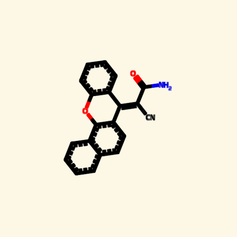 N#C/C(C(N)=O)=C1/c2ccccc2Oc2c1ccc1ccccc21